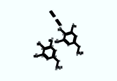 C=C.C=C.CC(C)(C)c1cc(CC(=O)O)cc(C(C)(C)C)c1O.CC(C)(C)c1cc(CC(=O)O)cc(C(C)(C)C)c1O